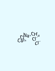 C.[Ca+2].[Cl-].[Cl-].[Cl-].[Na+]